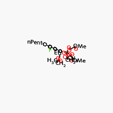 C=C(C)C(=O)OCCCc1cc(-c2ccc(-c3ccc(C4CCC(CCCCC)CC4)cc3F)cc2CC)ccc1OCC(COC(=O)CCC(=O)OC)(COC(=O)CCC(=O)OC)COC(=O)C(=C)C